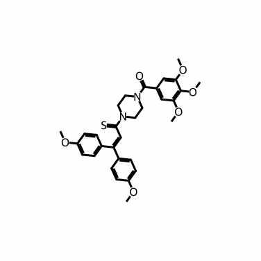 COc1ccc(C(=CC(=S)N2CCN(C(=O)c3cc(OC)c(OC)c(OC)c3)CC2)c2ccc(OC)cc2)cc1